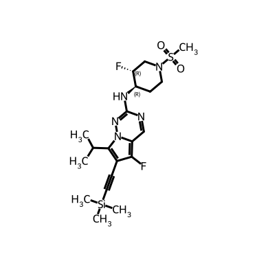 CC(C)c1c(C#C[Si](C)(C)C)c(F)c2cnc(N[C@@H]3CCN(S(C)(=O)=O)C[C@H]3F)nn12